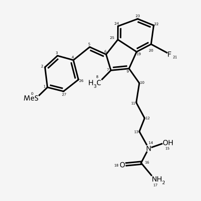 CSc1ccc(C=C2C(C)=C(CCCCN(O)C(N)=O)c3c(F)cccc32)cc1